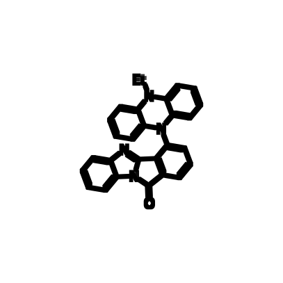 CCN1c2ccccc2N(c2cccc3c2-c2nc4ccccc4n2C3=O)c2ccccc21